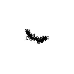 O=C(CNC(=O)c1cccc(NC2=NCC(F)CN2)c1)NCCNC(=O)c1c(Cl)cc(N2CC[S+]([O-])CC2)cc1Cl